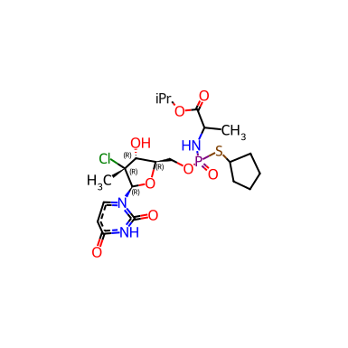 CC(C)OC(=O)C(C)NP(=O)(OC[C@H]1O[C@@H](n2ccc(=O)[nH]c2=O)[C@](C)(Cl)[C@@H]1O)SC1CCCC1